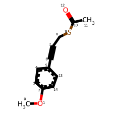 COc1ccc(C#CCSC(C)=O)cc1